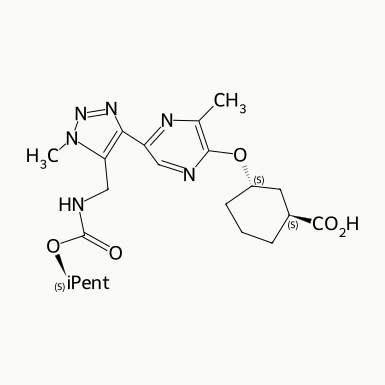 CCC[C@H](C)OC(=O)NCc1c(-c2cnc(O[C@H]3CCC[C@H](C(=O)O)C3)c(C)n2)nnn1C